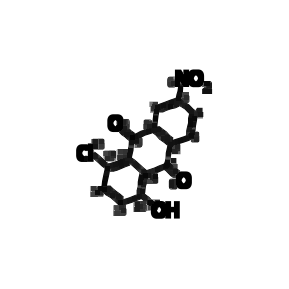 O=C1c2ccc([N+](=O)[O-])cc2C(=O)c2c(Cl)ccc(O)c21